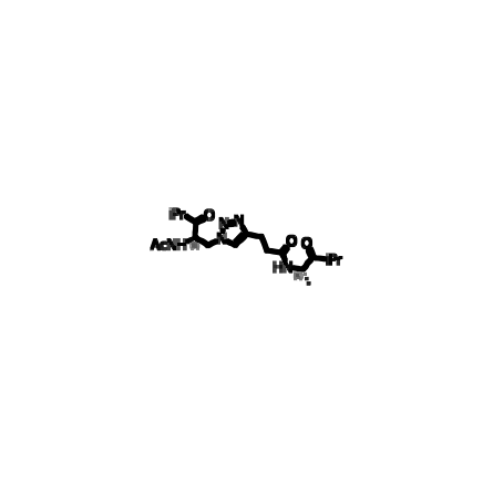 CC(=O)N[C@H](Cn1cc(CCC(=O)N[C@@H](C)C(=O)C(C)C)nn1)C(=O)C(C)C